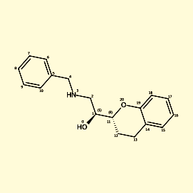 O[C@@H](CNCc1ccccc1)[C@H]1CCc2ccccc2O1